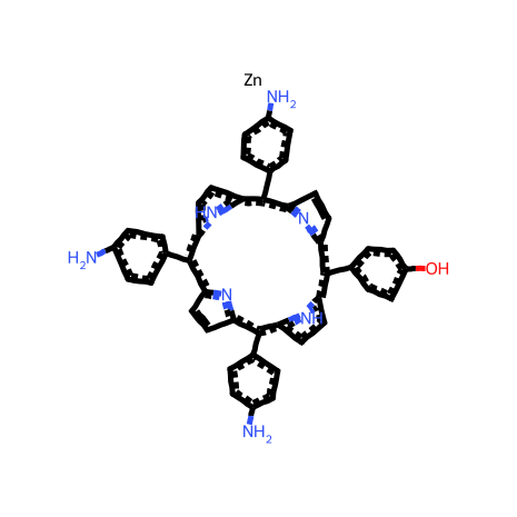 Nc1ccc(-c2c3nc(c(-c4ccc(N)cc4)c4ccc([nH]4)c(-c4ccc(O)cc4)c4nc(c(-c5ccc(N)cc5)c5ccc2[nH]5)C=C4)C=C3)cc1.[Zn]